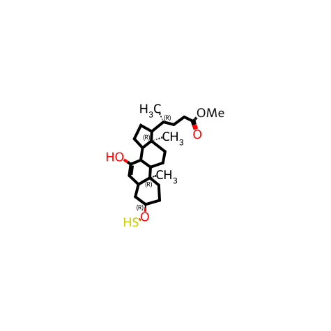 COC(=O)CC[C@@H](C)C1CCC2C3C(O)=CC4C[C@H](OS)CC[C@]4(C)C3CC[C@@]21C